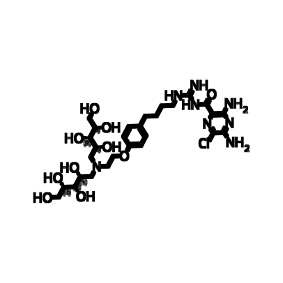 N=C(NCCCCc1ccc(OCCN(C[C@H](O)[C@@H](O)[C@H](O)CO)C[C@H](O)[C@@H](O)[C@H](O)CO)cc1)NC(=O)c1nc(Cl)c(N)nc1N